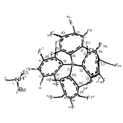 CCC(C)[NH+](C)CC.Fc1c(F)c(F)c([B-](c2c(F)c(F)c(F)c(F)c2F)(c2c(F)c(F)c(F)c(F)c2F)c2c(F)c(F)c(F)c(F)c2F)c(F)c1F